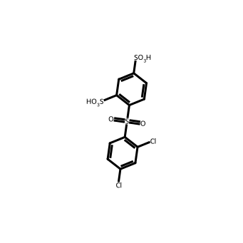 O=S(=O)(O)c1ccc(S(=O)(=O)c2ccc(Cl)cc2Cl)c(S(=O)(=O)O)c1